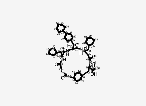 O=C1CCC(=O)N[C@H](Cc2cccs2)C(=O)N[C@@H](Cc2ccc(-c3ccccc3)cc2)C(=O)N[C@H](Cc2ccccc2)CC(=O)N[C@H](C(=O)O)Cc2ccc(cc2)N1